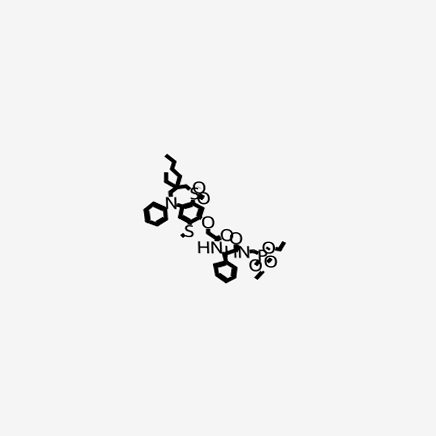 CCCCC1(CC)CN(c2ccccc2)c2cc(SC)c(OCC(=O)N[C@@H](C(=O)NCP(=O)(OCC)OCC)c3ccccc3)cc2S(=O)(=O)C1